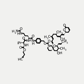 C#CCCOC(=O)N[C@H](C(=O)N[C@@H](CCCNC(N)=O)C(=O)Nc1ccc(COC(=O)N2CCC[C@]3(C[C@@H](O)[C@H](C)[C@H](/C=C/C)O3)[C@H]2/C=C/C=C(\C)C[C@@H](C)/C=C(C)\C=C\[C@H]2CC=CC(=O)O2)cc1)C(C)C